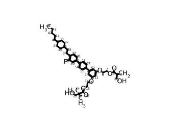 C=C(CO)C(=O)OCCOc1cc(OCCOC(=O)C(C)(C)CO)cc(-c2ccc(-c3ccc(CCC4CCC(CCCCC)CC4)c(F)c3)cc2)c1